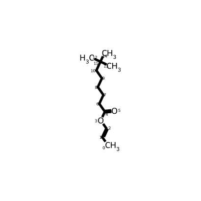 CC=COC(=O)CCCCCC(C)(C)C